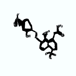 NC(=O)Cc1ccc(S(=O)(=O)Cl)c2ccc(N=Nc3ccc([N+](=O)[O-])cc3O)c(O)c12